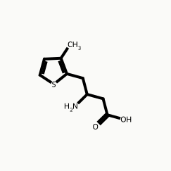 Cc1ccsc1CC(N)CC(=O)O